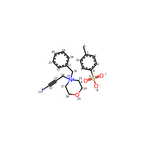 Cc1ccc(S(=O)(=O)[O-])cc1.IC#CC[N+]1(Cc2ccccc2)CCOCC1